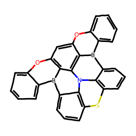 c1ccc2c(c1)Oc1cc3c4c5c1B2c1cccc2c1N5c1c(cccc1B4c1ccccc1O3)S2